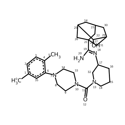 Cc1ccc(C)c(N2CCN(C(=O)N3CCCC(N=C(N)C45CC6CC(C4)C(O)C(C6)C5)C3)CC2)c1